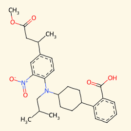 COC(=O)CC(C)c1ccc(N(CC(C)C)C2CCC(c3ccccc3C(=O)O)CC2)c([N+](=O)[O-])c1